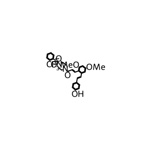 COc1cc(/C=C/c2ccc(O)cc2)c(/C=C/C(=O)N2CCN(S(=O)(=O)c3ccccc3C(F)(F)F)CC2)c(OC)c1